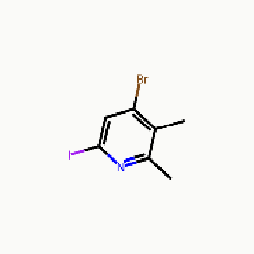 Cc1nc(I)cc(Br)c1C